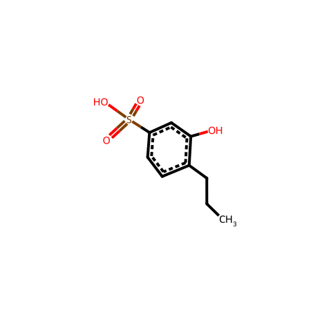 CCCc1ccc(S(=O)(=O)O)cc1O